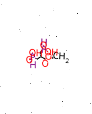 C=COC(=O)C(C[PH](=O)O)C[PH](=O)O